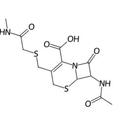 CNC(=O)CSCC1=C(C(=O)O)N2C(=O)C(NC(C)=O)C2SC1